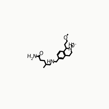 COCCC1c2ccc(CNCC(C)CCC(N)=O)cc2CC[NH+]1[O-]